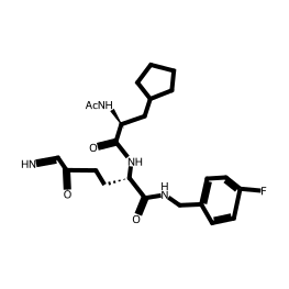 CC(=O)N[C@@H](CC1CCCC1)C(=O)N[C@@H](CCC(=O)C=N)C(=O)NCc1ccc(F)cc1